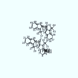 Cl.Cl.[CH2]=[Hf]([C]1=Cc2ccccc2C1C(C)(C)C)[C]1=Cc2ccccc2C1C(C)(C)C.[CH2]=[Hf]([C]1=Cc2ccccc2C1C(C)(C)C)[C]1=Cc2ccccc2C1C(C)(C)C